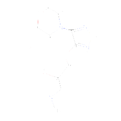 Br.CC(C)(C)NCC(O)COc1nsnc1N1CCOCC1